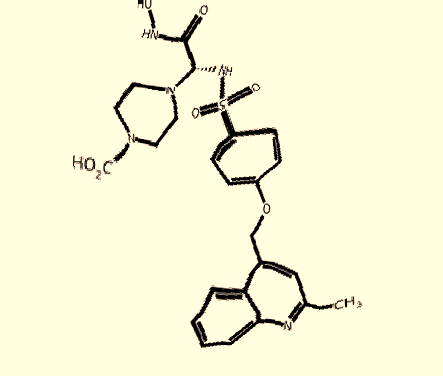 Cc1cc(COc2ccc(S(=O)(=O)N[C@@H](C(=O)NO)N3CCN(C(=O)O)CC3)cc2)c2ccccc2n1